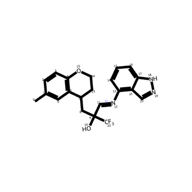 Cc1ccc2c(c1)C(CC(O)(/C=N/c1cccc3[nH]ncc13)C(F)(F)F)CCO2